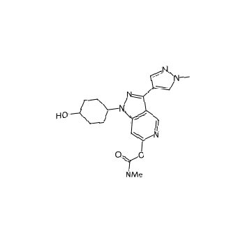 CNC(=O)Oc1cc2c(cn1)c(-c1cnn(C)c1)nn2C1CCC(O)CC1